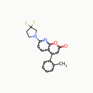 Cc1ccccc1-c1cc(=O)oc2nc(N3CCC(F)(F)C3)ccc12